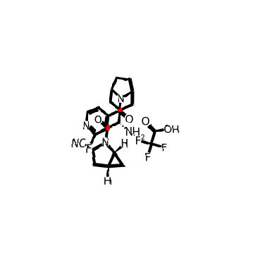 N#C[C@H]1C[C@H]2C[C@H]2N1C(=O)[C@@H](N)C1CC2CCC(C1)N2C(=O)c1ccnc(F)c1.O=C(O)C(F)(F)F